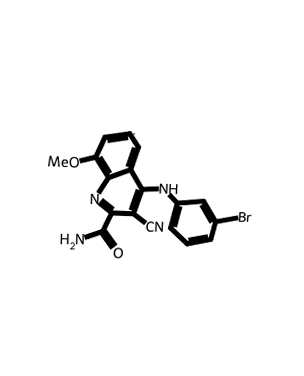 COc1c[c]cc2c(Nc3cccc(Br)c3)c(C#N)c(C(N)=O)nc12